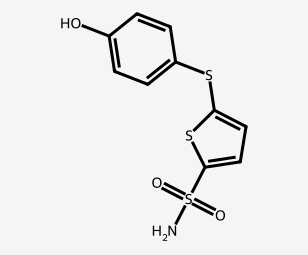 NS(=O)(=O)c1ccc(Sc2ccc(O)cc2)s1